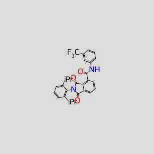 CC(C)c1cccc(C(C)C)c1N1C(=O)c2cccc(C(=O)Nc3cccc(C(F)(F)F)c3)c2C1=O